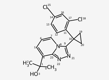 CC(C)(O)c1cccn2c(C3(c4ccc(Cl)cc4Cl)CC3)nnc12